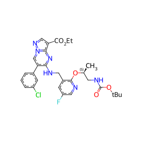 CCOC(=O)c1cnn2cc(-c3cccc(Cl)c3)c(NCc3cc(F)cnc3O[C@@H](C)CNC(=O)OC(C)(C)C)nc12